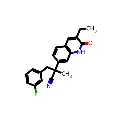 CCc1cc2ccc(C(C)(C#N)Cc3cccc(F)c3)cc2[nH]c1=O